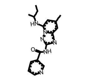 CCC(C)Nc1cc(C)cc2nc(NC(=O)c3cccnc3)nn12